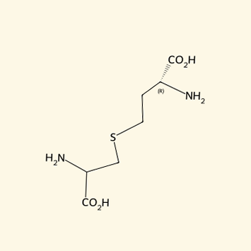 NC(CSCC[C@@H](N)C(=O)O)C(=O)O